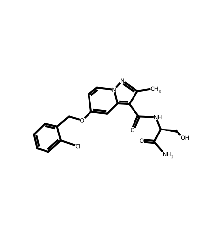 Cc1nn2ccc(OCc3ccccc3Cl)cc2c1C(=O)N[C@@H](CO)C(N)=O